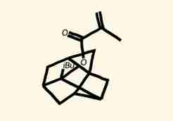 C=C(C)C(=O)OC1(C(C)CC)C2CC3CC34CC1C4C2